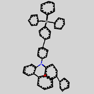 c1ccc(-c2ccc(N(c3ccc(-c4ccc([Si](c5ccccc5)(c5ccccc5)c5ccccc5)cc4)cc3)c3ccccc3-c3ccccc3)cc2)cc1